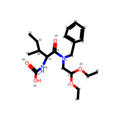 CCOC(CN(Cc1ccccc1)C(=O)C(NC(=O)O)C(C)CC)OCC